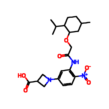 CC1CCC(C(C)C)C(OCC(=O)Nc2cc(N3CC(C(=O)O)C3)ccc2[N+](=O)[O-])C1